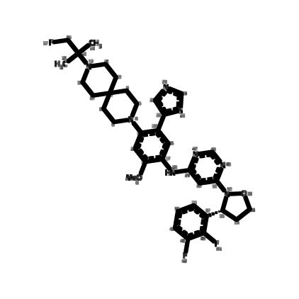 COc1cc(N2CCC3(CC2)CCN(C(C)(C)CF)CC3)c(-c2cncs2)cc1Nc1cc(N2OCC[C@@H]2c2cccc(F)c2F)ncn1